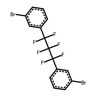 FC(F)(c1cccc(Br)c1)C(F)(F)C(F)(F)c1cccc(Br)c1